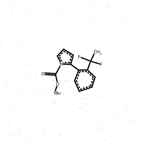 CC(C)(C)OC(=O)n1cccc1-c1ccccc1C(C)(F)F